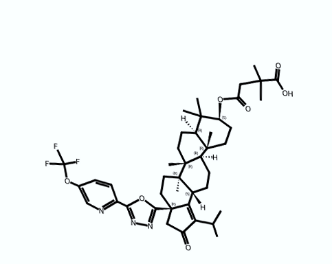 CC(C)C1=C2[C@H]3CC[C@@H]4[C@@]5(C)CC[C@H](OC(=O)CC(C)(C)C(=O)O)C(C)(C)[C@@H]5CC[C@@]4(C)[C@]3(C)CC[C@@]2(c2nnc(-c3ccc(OC(F)(F)F)cn3)o2)CC1=O